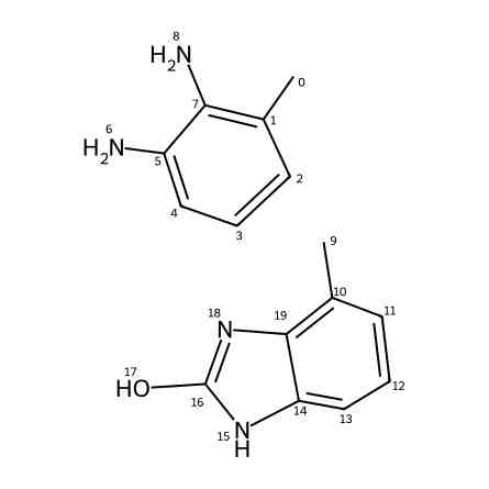 Cc1cccc(N)c1N.Cc1cccc2[nH]c(O)nc12